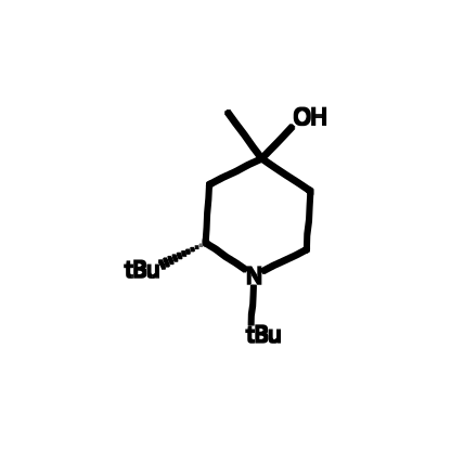 CC1(O)CCN(C(C)(C)C)[C@H](C(C)(C)C)C1